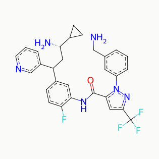 NCc1cccc(-n2nc(C(F)(F)F)cc2C(=O)Nc2cc(C(C[C@H](N)C3CC3)c3cccnc3)ccc2F)c1